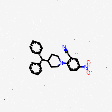 N#Cc1cc([N+](=O)[O-])ccc1N1CCC(C(c2ccccc2)c2ccccc2)CC1